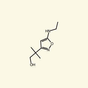 CCNc1cc(C(C)(C)CO)no1